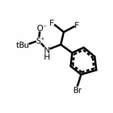 CC(C)(C)[S+]([O-])NC(c1cccc(Br)c1)C(F)F